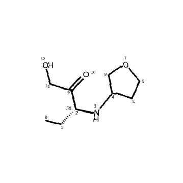 CC[C@@H](NC1CCOC1)C(=O)CO